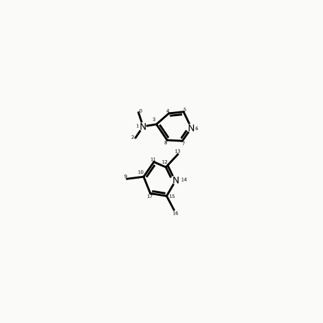 CN(C)c1ccncc1.Cc1cc(C)nc(C)c1